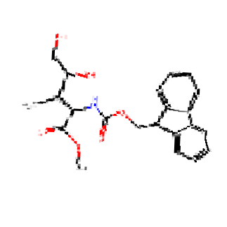 CC(C(O)CO)C(NC(=O)OCC1c2ccccc2-c2ccccc21)C(=O)OC(C)(C)C